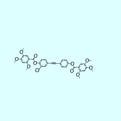 COc1cc(OC)c(C(=O)Oc2ccc(C#Cc3ccc(OC(=O)c4cc(OC)c(OC)cc4OC)c(Cl)c3)cc2)cc1OC